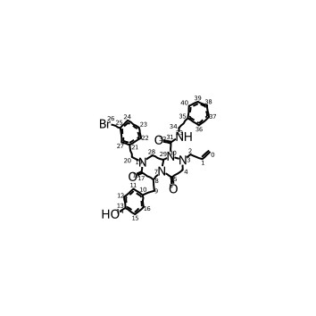 C=CCN1CC(=O)N2C(Cc3ccc(O)cc3)C(=O)N(Cc3cccc(Br)c3)CC2N1C(=O)NCc1ccccc1